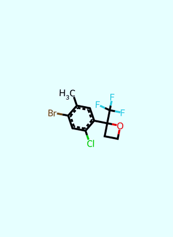 Cc1cc(C2(C(F)(F)F)CCO2)c(Cl)cc1Br